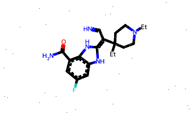 CCN1CCC(CC)(/C(C=N)=C2\Nc3cc(F)cc(C(N)=O)c3N2)CC1